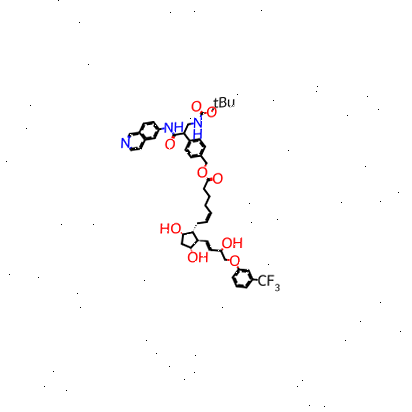 CC(C)(C)OC(=O)NCC(C(=O)Nc1ccc2cnccc2c1)c1ccc(COC(=O)CCC/C=C\C[C@@H]2[C@@H](/C=C/C(O)COc3cccc(C(F)(F)F)c3)[C@H](O)C[C@@H]2O)cc1